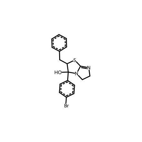 OC1(c2ccc(Br)cc2)C(Cc2ccccc2)SC2=NCCN21